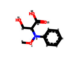 CON(c1ccccc1)C(CO)C(=O)O